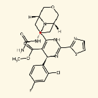 COC(=O)C1=C(CN2[C@@H]3COC[C@H]2C[C@@H](NC(N)=O)C3)NC(c2nccs2)=N[C@H]1c1ccc(F)cc1Cl